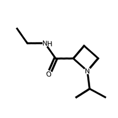 CCNC(=O)C1CCN1C(C)C